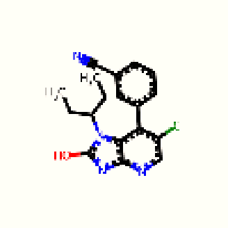 CCC(CC)n1c(O)nc2ncc(Cl)c(-c3cccc(C#N)c3)c21